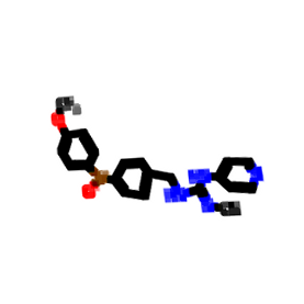 N#CN=C(NCc1ccc([S+]([O-])c2ccc(OC(F)(F)F)cc2)cc1)Nc1ccncc1